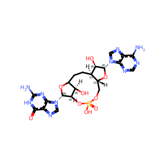 Nc1nc2c(ncn2[C@@H]2OC3CC[C@H]4[C@@H](O)[C@H](n5cnc6c(N)ncnc65)O[C@@H]4COP(=O)(O)O[C@@H]2[C@@H]3O)c(=O)[nH]1